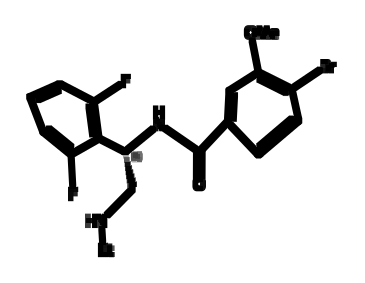 CCNC[C@@H](NC(=O)c1ccc(Br)c(OC)c1)c1c(F)cccc1F